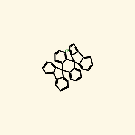 Clc1cccc2c1C1(c3ccccc3-2)c2ccccc2C2(c3ccccc3-c3ccccc32)c2ccccc21